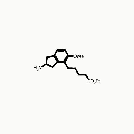 CCOC(=O)CCCCc1c(OC)ccc2c1CC(N)C2